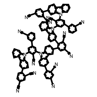 N#Cc1cccc(-c2cc(-n3c4ccccc4c4cc(-c5ccc(C#N)cc5C#N)ccc43)c(C#N)c(-n3c4ccc(-c5ccc(C#N)cc5C#N)cc4c4cc(-c5cc(C#N)cc(C#N)c5-c5ccc6c7ccccc7n(-c7cc(-c8cccc(C#N)c8)cc(-n8c9ccccc9c9ccc(-c%10ccc(C#N)cc%10C#N)cc98)c7C#N)c6c5)ccc43)c2)c1